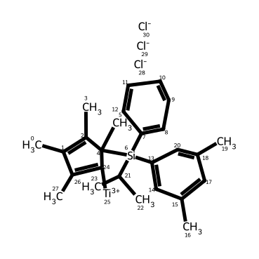 CC1=C(C)C(C)([Si](c2ccccc2)(c2cc(C)cc(C)c2)C(C)C)[C]([Ti+3])=C1C.[Cl-].[Cl-].[Cl-]